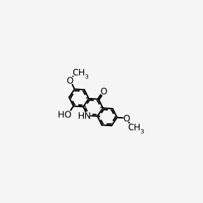 COc1ccc2[nH]c3c(O)cc(OC)cc3c(=O)c2c1